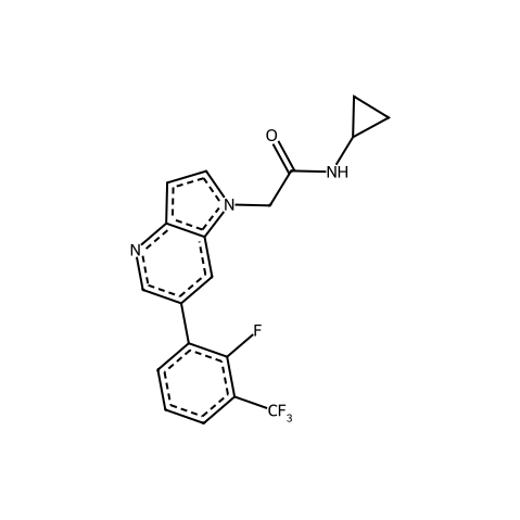 O=C(Cn1ccc2ncc(-c3cccc(C(F)(F)F)c3F)cc21)NC1CC1